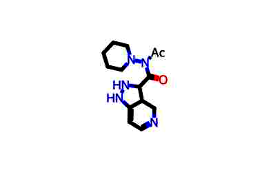 CC(=O)N(C(=O)C1NNC2=CC=NCC21)N1CCCCC1